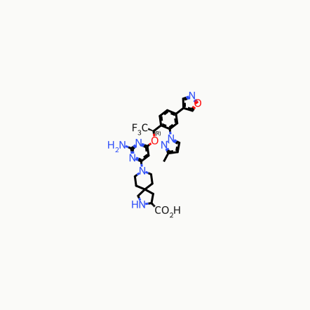 Cc1ccn(-c2cc(-c3cnoc3)ccc2[C@@H](Oc2cc(N3CCC4(CC3)CNC(C(=O)O)C4)nc(N)n2)C(F)(F)F)n1